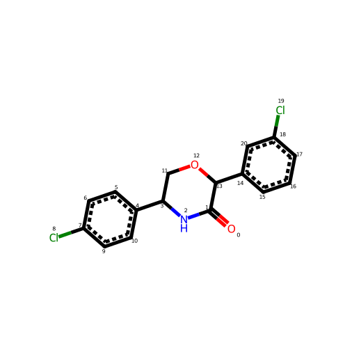 O=C1NC(c2ccc(Cl)cc2)COC1c1cccc(Cl)c1